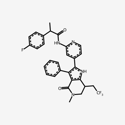 CC(C(=O)Nc1cc(-c2[nH]c3c(c2-c2ccccc2)C(=O)N(C)CC3CC(F)(F)F)ccn1)c1ccc(F)cc1